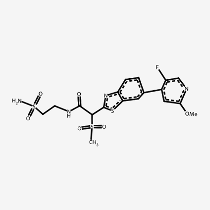 COc1cc(-c2ccc3nc(C(C(=O)NCCS(N)(=O)=O)S(C)(=O)=O)sc3c2)c(F)cn1